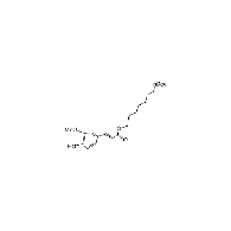 CCCCCCCCCCCCCCCCCOC(=O)C=Cc1ccc(O)c(OC)c1